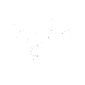 COc1cc(CO)cc(NC(C(=O)N2CCCC2C2CCCC2)c2ccc(C)cc2)c1